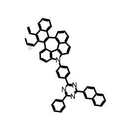 C=Cc1c(/C=C\C)c2c(c3ccccc13)-c1cccc3ccc4c(c13)c1c-2cccc1n4-c1ccc(-c2nc(-c3ccccc3)nc(-c3ccc4ccccc4c3)n2)cc1